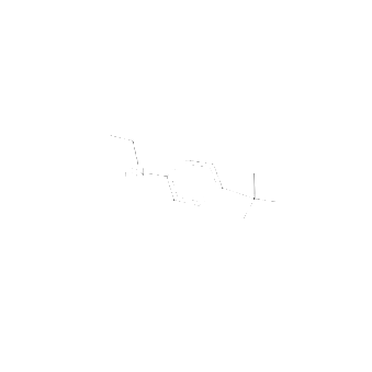 CCNc1ccc(C(C)(C)C)cc1C